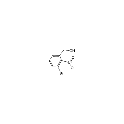 O=[N+]([O-])c1c(Br)cccc1[CH]O